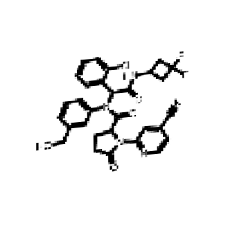 N#Cc1ccnc(N2C(=O)CCC2C(=O)N(c2cccc(CO)c2)C(C(=O)NC2CC(F)(F)C2)c2ccccc2Cl)c1